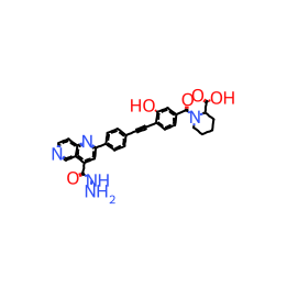 NNC(=O)c1cc(-c2ccc(C#Cc3ccc(C(=O)N4CCCCC4C(=O)O)cc3O)cc2)nc2ccncc12